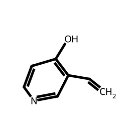 C=Cc1cnccc1O